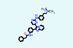 CN(C)CCc1cccc(Nc2nccc(-c3c(-c4cccc(NC(=O)Cc5ccccc5)c4)nc4ccccn34)n2)c1